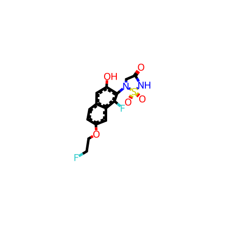 O=C1CN(c2c(O)cc3ccc(OCCF)cc3c2F)S(=O)(=O)N1